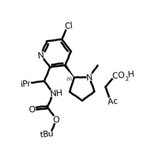 CC(=O)CC(=O)O.CC(C)C(NC(=O)OC(C)(C)C)c1ncc(Cl)cc1[C@@H]1CCCN1C